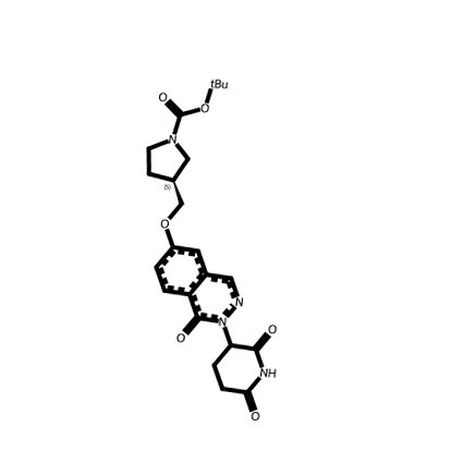 CC(C)(C)OC(=O)N1CC[C@H](COc2ccc3c(=O)n(C4CCC(=O)NC4=O)ncc3c2)C1